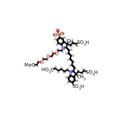 COCCOCCOCCOCCN1C(=CC=CC=CC=CC2=[N+](CCCCCC(=O)O)c3ccc(S(=O)(=O)O)cc3C2(C)CCCS(=O)(=O)O)C(C)(CCCS(=O)(=O)O)c2cc(S(=O)(=O)[O-])ccc21